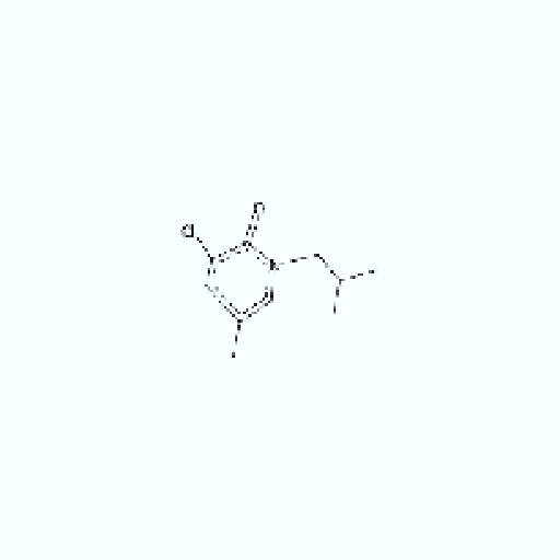 Cc1cc(Cl)c(=O)n(CC(C)C)c1